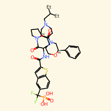 CCC(CC)CN1CCC(CC(NC(=O)c2cc3cc(C(F)(F)P(=O)(O)O)ccc3s2)C(=O)N2CCC[C@H]2C(=O)N2CCO[C@H](c3ccccc3)C2)CC1